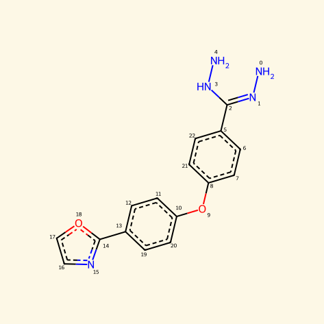 N/N=C(\NN)c1ccc(Oc2ccc(-c3ncco3)cc2)cc1